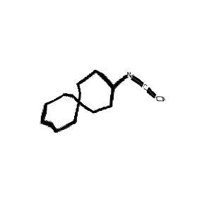 O=C=NC1CCC2(CCCCC2)CC1